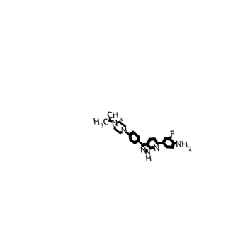 CC(C)N1CCN(c2ccc(-c3n[nH]c4nc(-c5ccc(N)c(F)c5)ccc34)cc2)CC1